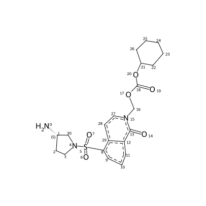 N[C@H]1CCN(S(=O)(=O)c2cccc3c(=O)n(COC(=O)OC4CCCCC4)ccc23)C1